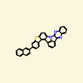 c1ccc2cc(-c3ccc4c(c3)sc3ccc5c(c6cccc7c8nc9ccccc9nc8n5c76)c34)ccc2c1